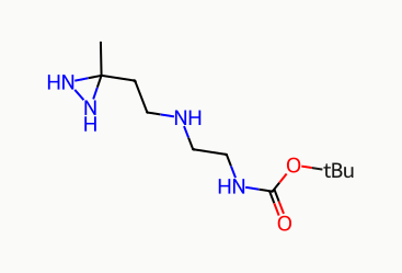 CC1(CCNCCNC(=O)OC(C)(C)C)NN1